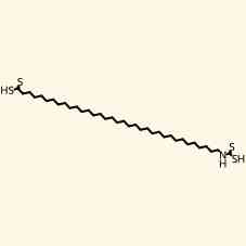 S=C(S)CCCCCCCCCCCCCCCCCCCCCCCCCCCCCCCCCCNC(=S)S